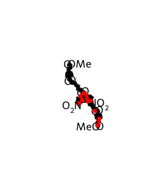 COC(=O)C=Cc1ccc(C(=O)OCCCCCCOC(=O)C(Cc2ccc([N+](=O)[O-])cc2)(Cc2ccc([N+](=O)[O-])cc2)C(=O)OCCCCCCOC(=O)c2ccc(C=CC(=O)OC)cc2)cc1